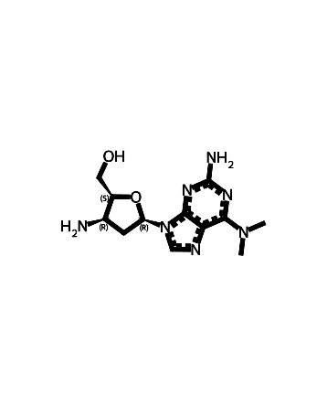 CN(C)c1nc(N)nc2c1ncn2[C@H]1C[C@@H](N)[C@@H](CO)O1